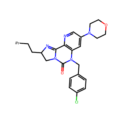 CC(C)CCC1CN2C(=O)N(Cc3ccc(Cl)cc3)c3cc(N4CCOCC4)cnc3C2=N1